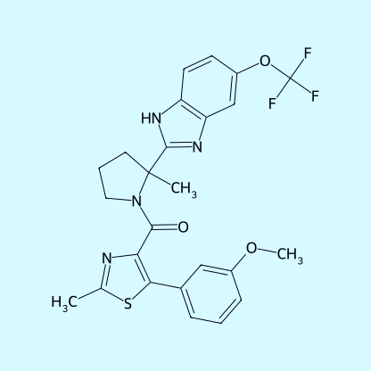 COc1cccc(-c2sc(C)nc2C(=O)N2CCCC2(C)c2nc3cc(OC(F)(F)F)ccc3[nH]2)c1